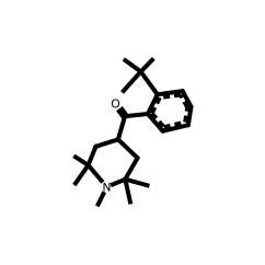 CN1C(C)(C)CC(C(=O)c2ccccc2C(C)(C)C)CC1(C)C